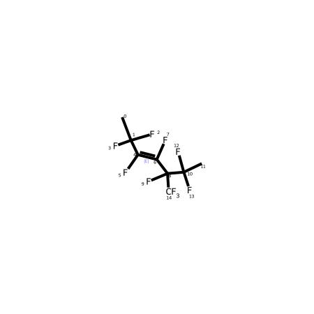 CC(F)(F)/C(F)=C(\F)C(F)(C(C)(F)F)C(F)(F)F